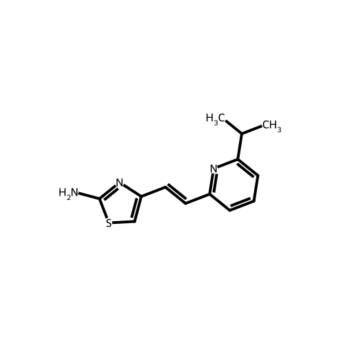 CC(C)c1cccc(C=Cc2csc(N)n2)n1